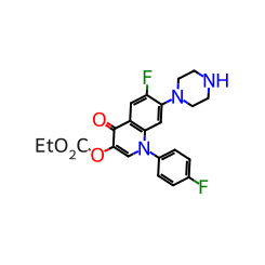 CCOC(=O)Oc1cn(-c2ccc(F)cc2)c2cc(N3CCNCC3)c(F)cc2c1=O